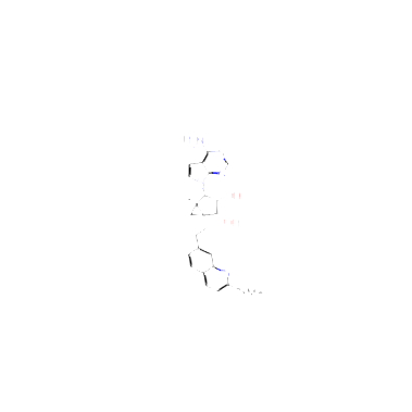 CNc1ccc2ccc(CC[C@]34C[C@@H]3[C@@H](n3ccc5c(N)ncnc53)[C@H](O)[C@@H]4O)cc2n1